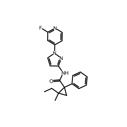 CCC1(C)CC1(C(=O)Nc1ccn(-c2ccnc(F)c2)n1)c1ccccc1